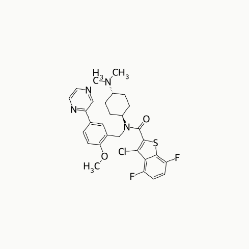 COc1ccc(-c2cnccn2)cc1CN(C(=O)c1sc2c(F)ccc(F)c2c1Cl)[C@H]1CC[C@H](N(C)C)CC1